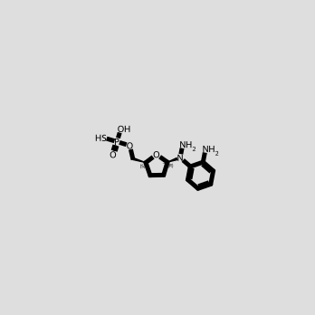 Nc1ccccc1N(N)[C@H]1CC[C@@H](COP(=O)(O)S)O1